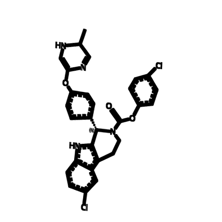 CC1C=NC(Oc2ccc([C@H]3c4[nH]c5ccc(Cl)cc5c4CCN3C(=O)Oc3ccc(Cl)cc3)cc2)=CN1